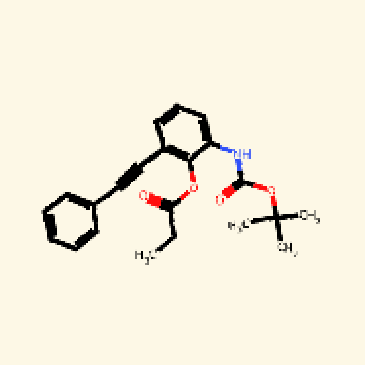 CCC(=O)Oc1c(C#Cc2ccccc2)cccc1NC(=O)OC(C)(C)C